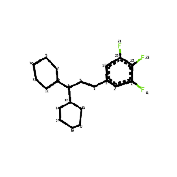 Fc1cc(CCC(C2CCCCC2)C2CCCCC2)cc(F)c1F